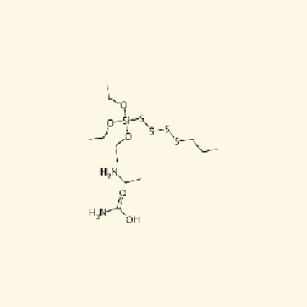 CCCSSSS[Si](OCC)(OCC)OCC.CCN.NC(=O)O